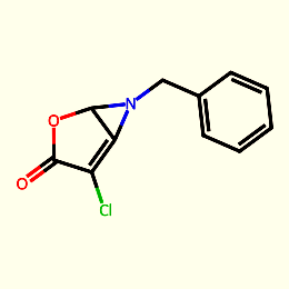 O=C1OC2C(=C1Cl)N2Cc1ccccc1